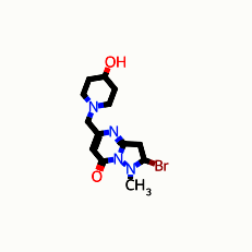 CN1C(Br)Cc2nc(CN3CCC(O)CC3)cc(=O)n21